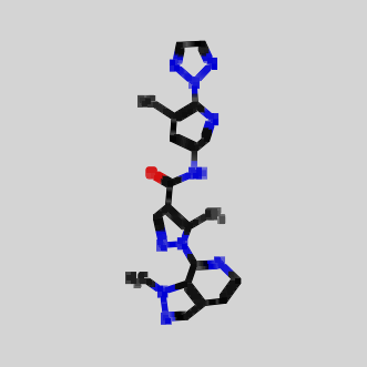 Cn1ncc2ccnc(-n3ncc(C(=O)Nc4cnc(-n5nccn5)c(C#N)c4)c3C(F)(F)F)c21